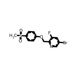 CS(=O)(=O)c1ccc(OCc2ncc(Br)cc2F)cc1